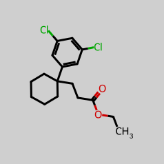 CCOC(=O)CCC1(c2cc(Cl)cc(Cl)c2)CCCCC1